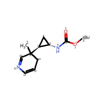 CC(C)(C)OC(=O)N[C@H]1C[C@@H]1C1(C)C=NC=CC1